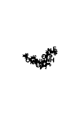 Cc1cc(F)c(C(=O)Nc2ccc(OC3CC3)cn2)cc1NC(=O)c1cnc(C(F)F)s1